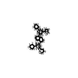 c1ccc(-c2nc(-c3cccs3)cc(-c3cccc4c(-c5cc(-c6cccs6)nc(-c6ccccc6)n5)cccc34)n2)cc1